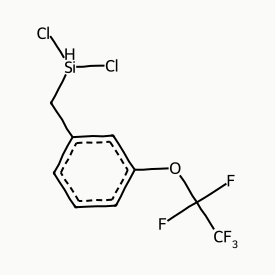 FC(F)(F)C(F)(F)Oc1cccc(C[SiH](Cl)Cl)c1